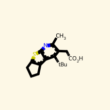 Cc1nc2sc3c(c2c(C(C)(C)C)c1CC(=O)O)CCC3